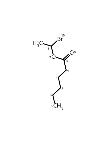 CCCCCC(=O)OC(C)Br